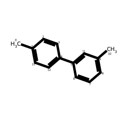 Cc1ccc(-c2[c]ccc(C)c2)cc1